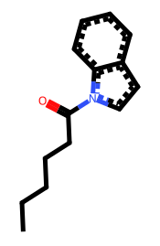 CCCCCC(=O)n1ccc2ccccc21